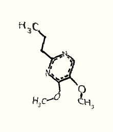 CCCc1ncc(OC)c(OC)n1